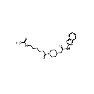 CC(=O)NCCCCCC(=O)N1CCN(CC(=O)Nc2nc3ccccc3s2)CC1